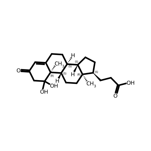 C[C@]12CC[C@H]3[C@@H](CCC4=CC(=O)CC(O)(O)[C@@]43C)[C@@H]1CC[C@H]2CCC(=O)O